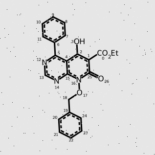 CCOC(=O)c1c(O)c2c(-c3ccccc3)ncnc2n(OCc2ccccc2)c1=O